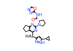 O=C(Nc1nnco1)[C@@H]1CCCN1c1nc2c(c([AsH]c3cc(C4CC4)[nH]n3)n1)CCC2